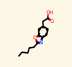 CCCCCc1nc2ccc(CC(=O)O)cc2o1